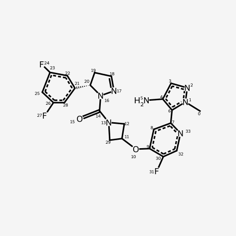 Cn1ncc(N)c1-c1cc(OC2CN(C(=O)N3N=CC[C@H]3c3cc(F)cc(F)c3)C2)c(F)cn1